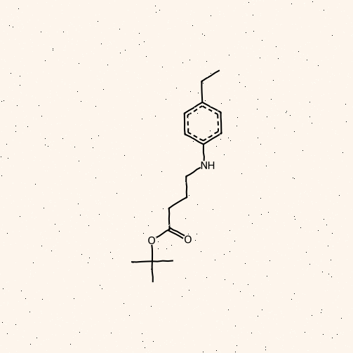 CCc1ccc(NCCCC(=O)OC(C)(C)C)cc1